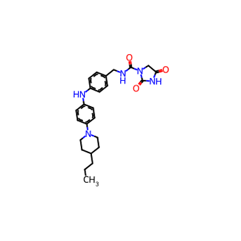 CCCC1CCN(c2ccc(Nc3ccc(CNC(=O)N4CC(=O)NC4=O)cc3)cc2)CC1